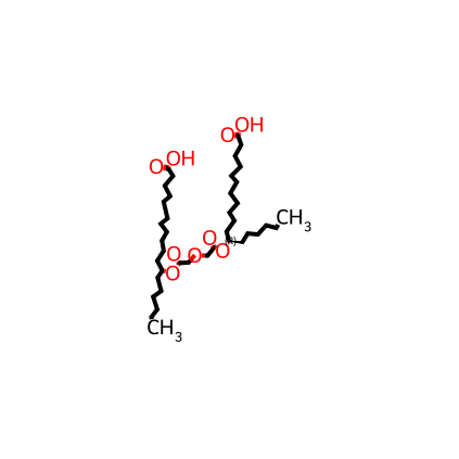 CCCCCCC(CCCCCCCCCCC(=O)O)OC(=O)COCC(=O)O[C@H](CCCCCC)CCCCCCCCCCC(=O)O